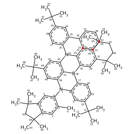 Cc1cc2c(cc1N1c3cc(C(C)(C)C)ccc3B3c4cc5c(cc4N(c4ccc(C(C)(C)C)cc4-c4ccccc4)c4cc(C(C)(C)C)cc1c43)C(C)(C)CCC5(C)C)C(C)(C)CC2(C)C